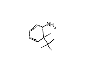 CC(C)(C)C1(C)C=CC=CC1N